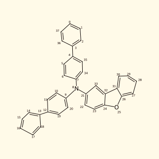 c1ccc(-c2ccc(N(c3ccc(-c4ccccc4)cc3)c3ccc4oc5ccccc5c4c3)cc2)cc1